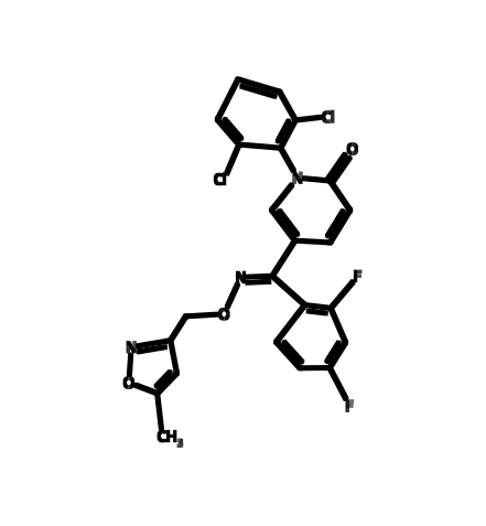 Cc1cc(CO/N=C(/c2ccc(=O)n(-c3c(Cl)cccc3Cl)c2)c2ccc(F)cc2F)no1